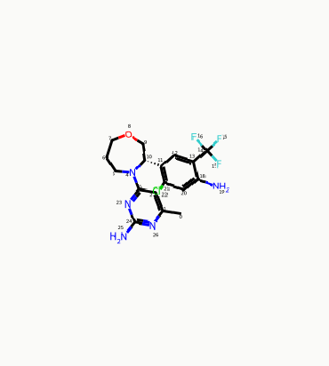 Cc1cc(N2CCCOC[C@@H]2c2cc(C(F)(F)F)c(N)cc2Cl)nc(N)n1